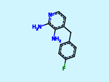 Nc1nccc(Cc2ccc(F)cc2)c1N